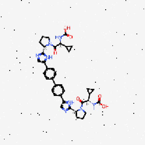 O=C(O)N[C@H](C(=O)N1CCC[C@H]1c1ncc(-c2ccc(-c3ccc(-c4cnc([C@@H]5CCCN5C(=O)[C@@H](NC(=O)O)C5CC5)[nH]4)cc3)cc2)[nH]1)C1CC1